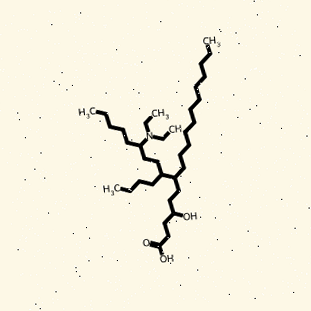 CCCCCCCCCCCCC(CCC(O)CCC(=O)O)C(CCCC)CCC(CCCCC)N(CC)CC